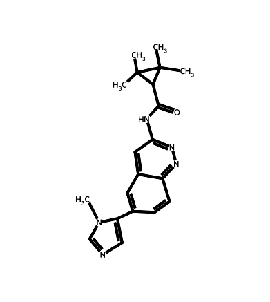 Cn1cncc1-c1ccc2nnc(NC(=O)C3C(C)(C)C3(C)C)cc2c1